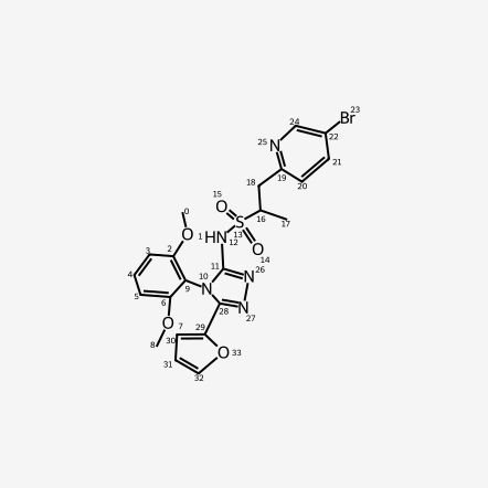 COc1cccc(OC)c1-n1c(NS(=O)(=O)C(C)Cc2ccc(Br)cn2)nnc1-c1ccco1